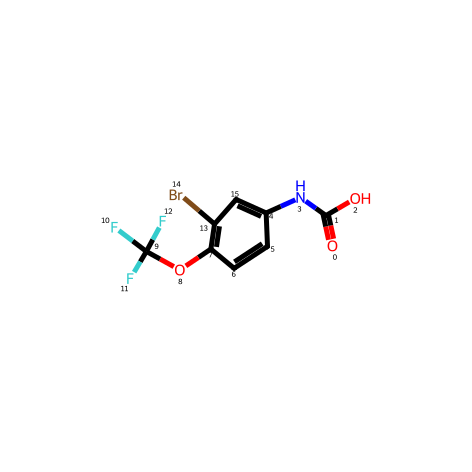 O=C(O)Nc1ccc(OC(F)(F)F)c(Br)c1